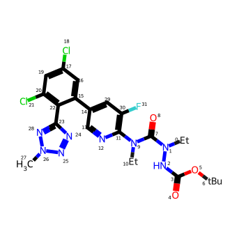 CCN(NC(=O)OC(C)(C)C)C(=O)N(CC)c1ncc(-c2cc(Cl)cc(Cl)c2-c2nnn(C)n2)cc1F